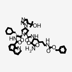 CC(C)(O)c1cnnn1[C@H]1C[C@@H](C(=O)NC(CCCCNC(=O)OCc2ccccc2)C(=O)C(N)=O)N(C(=O)[C@@H](CC2CCCCC2)NC(=O)c2cccc3cccnc23)C1